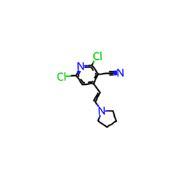 N#Cc1c(/C=C/N2CCCC2)cc(Cl)nc1Cl